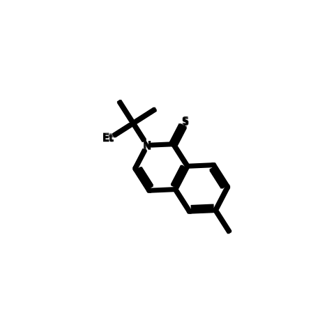 CCC(C)(C)n1ccc2cc(C)ccc2c1=S